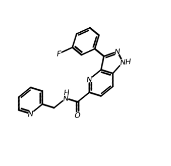 O=C(NCc1ccccn1)c1ccc2[nH]nc(-c3cccc(F)c3)c2n1